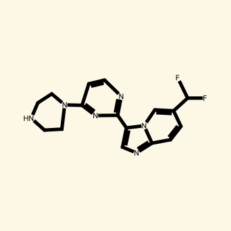 FC(F)c1ccc2ncc(-c3nccc(N4CCNCC4)n3)n2c1